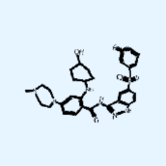 CN1CCN(c2ccc(C(=O)Nc3n[nH]c4ccc(S(=O)(=O)c5cccc(F)c5)cc34)c(NC3CCC(O)CC3)c2)CC1